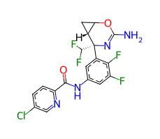 NC1=N[C@](c2cc(NC(=O)c3ccc(Cl)cn3)cc(F)c2F)(C(F)F)[C@@H]2CC2O1